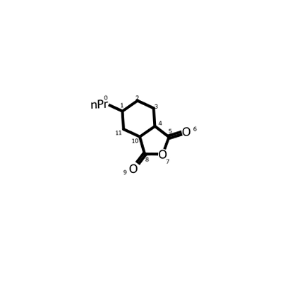 CCCC1CCC2C(=O)OC(=O)C2C1